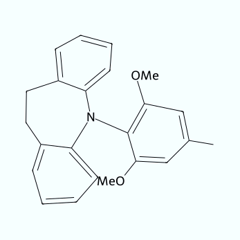 COc1cc(C)cc(OC)c1N1c2ccccc2CCc2ccccc21